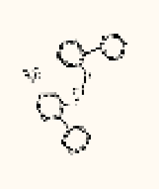 O.O.c1ccc(-c2ccccc2[O][Co][O]c2ccccc2-c2ccccc2)cc1